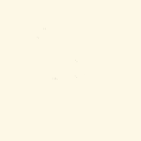 CN(C)c1ccc(-c2[nH]c(-c3ccccc3)cn3c(=O)c(Cc4ccco4)nc2-3)cc1